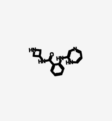 O=C(NC1CNC1)c1ccccc1NC1=CN=CC=CN1